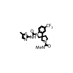 CNC(=O)N1CCC2(C1)CN(C(=O)Nc1ncc(C)s1)c1ccc(C(F)(F)F)cc12